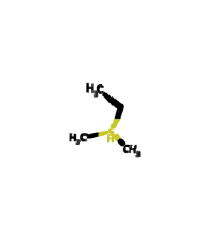 CC[SH](C)C